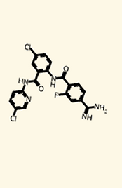 N=C(N)c1ccc(C(=O)Nc2ccc(Cl)cc2C(=O)Nc2ccc(Cl)cn2)c(F)c1